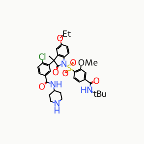 CCOc1ccc2c(c1)C(C)(c1cc(C(=O)NC3CCNCC3)ccc1Cl)C(=O)N2S(=O)(=O)c1ccc(C(=O)NC(C)(C)C)cc1OC